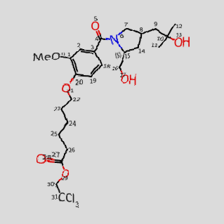 COc1cc(C(=O)N2CC(CC(C)(C)O)C[C@H]2CO)ccc1OCCCCCC(=O)OCC(Cl)(Cl)Cl